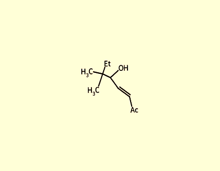 CCC(C)(C)C(O)C=CC(C)=O